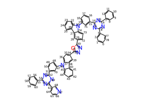 c1ccc(-c2nc(-c3ccccc3)nc(-c3cccc(-n4c5ccccc5c5cc(-c6nnc(-c7ccc8c(c7)c7ccccc7n8-c7cccc(-c8nc(-c9ccccc9)nc(-c9cccnc9)n8)c7)o6)ccc54)c3)n2)cc1